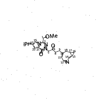 COCc1nn(CC(=O)CC/C2=C/C=N\C=C3/CC3C2)c(=O)c2cc(C(C)C)cn12